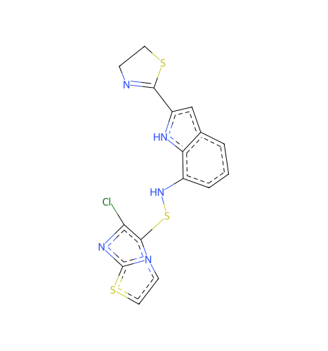 Clc1nc2sccn2c1SNc1cccc2cc(C3=NCCS3)[nH]c12